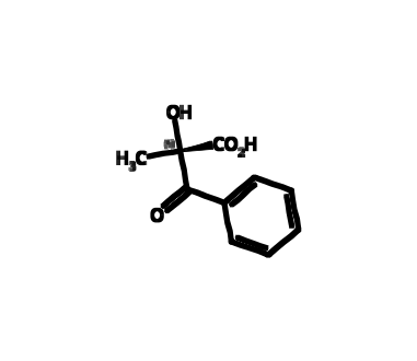 C[C@@](O)(C(=O)O)C(=O)c1ccccc1